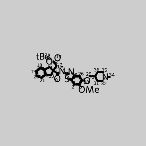 COc1cc2sc(N(C)C(=O)C3(CC(=O)OC(C)(C)C)Cc4ccccc4C3)nc2cc1OCC1CCN(C)CC1